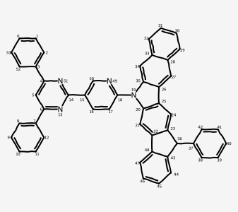 c1ccc(-c2cc(-c3ccccc3)nc(-c3ccc(-n4c5cc6c(cc5c5cc7ccccc7cc54)C(c4ccccc4)c4ccccc4-6)nc3)n2)cc1